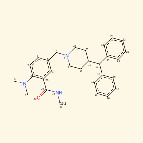 CN(C)c1ccc(CN2CCC(C(c3ccccc3)c3ccccc3)CC2)cc1C(=O)NC(C)(C)C